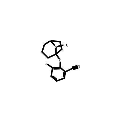 CN1C2CCCC1(Oc1c(Cl)cccc1C#N)CC2